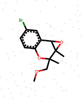 COCC1(C)Oc2ccc(Br)cc2C2OC21C